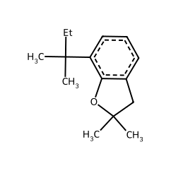 CCC(C)(C)c1cccc2c1OC(C)(C)C2